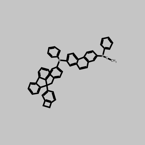 CCN(c1ccccc1)c1ccc2c(ccc3cc(N(c4ccccc4)c4ccc(CC5(c6ccc7c(c6)CC7)c6ccccc6-c6ccccc65)cc4)ccc32)c1